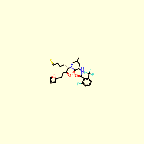 CC(C)C[C@H](NC(=O)c1c(F)cccc1C(F)(F)F)C(=O)N[C@@H](CCCC=S)C(=O)CCc1ccco1